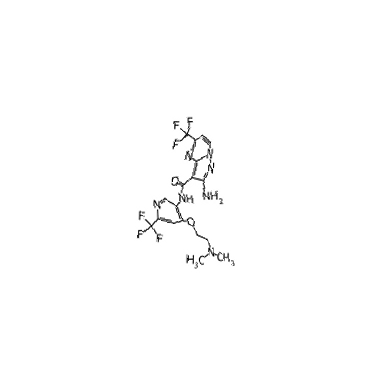 CN(C)CCOc1cc(C(F)(F)F)ncc1NC(=O)c1c(N)nn2ccc(C(F)(F)F)nc12